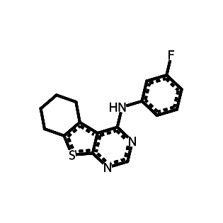 Fc1cccc(Nc2ncnc3sc4c(c23)CCCC4)c1